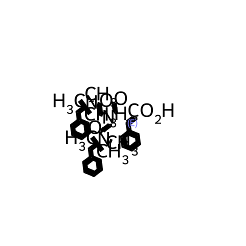 CN(C(=O)CN(CCO)CC(=O)N(C)C(C)(C)Cc1ccccc1)C(C)(C)Cc1ccccc1.O=C(O)/C=C/c1ccccc1